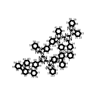 c1ccc([Si](c2ccccc2)(c2cccc(-c3nc(-n4c5ccccc5n5c6ccccc6nc45)nc(-n4c5ccccc5n5c6ccc(-c7ccc8c(c7)n7c9ccccc9nc7n8-c7nc(-c8ccc([Si](c9ccccc9)(c9ccccc9)c9cccc%10c9oc9ccccc9%10)cc8)nc(-n8c9ccccc9n9c%10ccccc%10nc89)n7)cc6nc45)n3)c2)c2ccc3oc4ccccc4c3c2)cc1